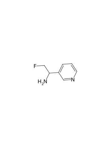 NC(CF)c1cccnc1